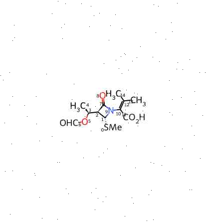 CS[C@@H]1[C@@H]([C@H](C)OC=O)C(=O)N1C(C(=O)O)=C(C)C